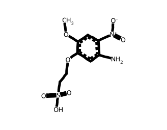 COc1cc([N+](=O)[O-])c(N)cc1OCCS(=O)(=O)O